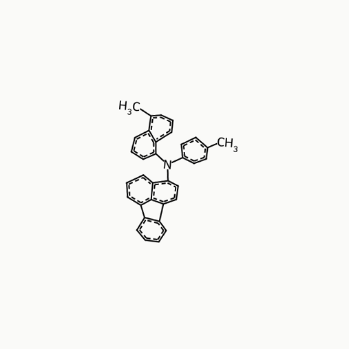 Cc1ccc(N(c2cccc3c(C)cccc23)c2ccc3c4c(cccc24)-c2ccccc2-3)cc1